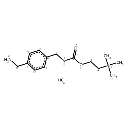 C[Si](C)(C)CCOC(=O)NCc1ccc(CN)cc1.Cl